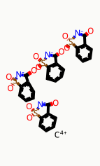 O=C1[N-]S(=O)(=O)c2ccccc21.O=C1[N-]S(=O)(=O)c2ccccc21.O=C1[N-]S(=O)(=O)c2ccccc21.O=C1[N-]S(=O)(=O)c2ccccc21.[C+4]